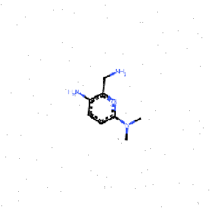 CN(C)c1ccc(N)c(CN)n1